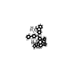 CC1(C)c2ccccc2-c2ccc(N(c3ccc(-c4ccccc4)cc3)c3ccc4c(c3)[C@@](C)([C@H]3C[C@@H]5CC[C@@H](C5)C3)c3ccccc3C43c4ccccc4-c4ccccc43)cc21